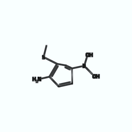 CSc1cc(B(O)O)ccc1N